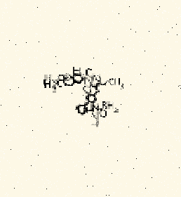 BC(=O)NC(=N)c1ccccc1-c1ccc(Cc2c(CCC)nc(C)n(-c3ccc4c(c3)C=CC(C)(C)O4)c2=O)cc1